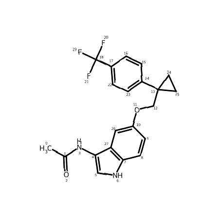 CC(=O)Nc1c[nH]c2ccc(OCC3(c4ccc(C(F)(F)F)cc4)CC3)cc12